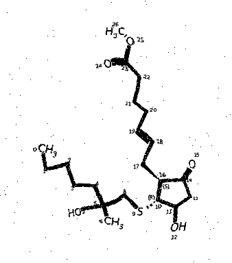 CCCCCC(C)(O)CS[C@H]1C(O)CC(=O)[C@@H]1CC=CCCCC(=O)OC